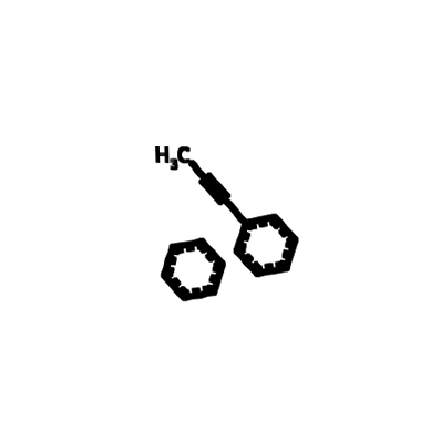 CC#Cc1ccccc1.c1ccccc1